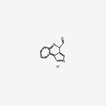 O=CC1N=c2ccccc2=C2C=NC=C21.[H+]